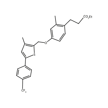 CCOC(=O)CCc1ccc(OCc2sc(-c3ccc(C(F)(F)F)cc3)cc2C)cc1C